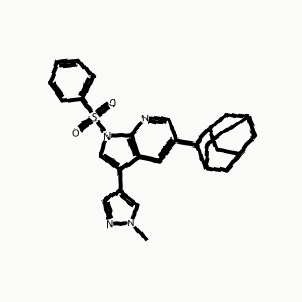 Cn1cc(-c2cn(S(=O)(=O)c3ccccc3)c3ncc(C4C5CC6CC(C5)CC4C6)cc23)cn1